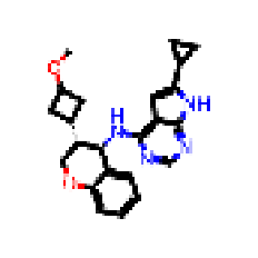 COC1CC([C@H]2COc3ccccc3[C@@H]2Nc2ncnc3[nH]c(C4CC4)cc23)C1